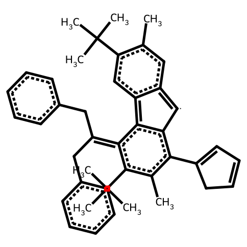 Cc1cc2c(cc1C(C)(C)C)=c1c(c(C3=CC=CC3)c(C)c(C(C)(C)C)c1=C(Cc1ccccc1)Cc1ccccc1)[C]=2